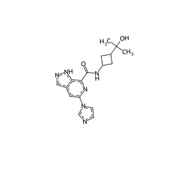 CC(C)(O)C1CC(NC(=O)c2nc(-n3ccnc3)cc3cn[nH]c23)C1